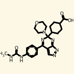 CNC(=O)Nc1ccc(C2=NC(C3CCC(C(=O)O)CC3)(N3CCOCC3)N=C3N=NC=C32)cc1